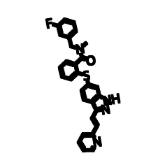 CN(Cc1cccc(F)c1)C(=O)c1ccccc1Sc1ccc2c(/C=C/c3ccccn3)n[nH]c2c1